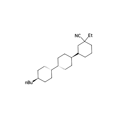 CCCC[C@H]1CC[C@H]([C@H]2CC[C@H](C3CCCC(C#N)(CC)C3)CC2)CC1